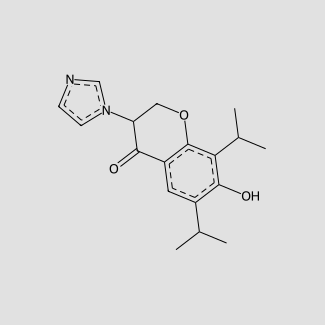 CC(C)c1cc2c(c(C(C)C)c1O)OCC(n1ccnc1)C2=O